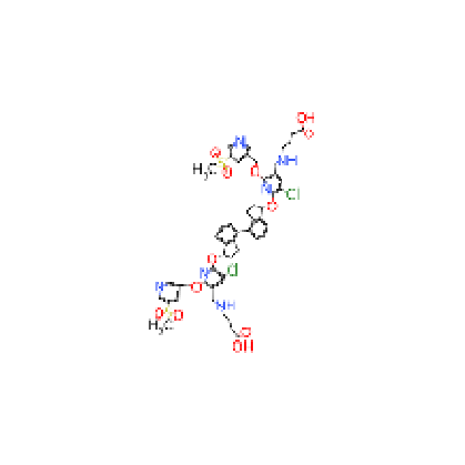 CS(=O)(=O)c1cncc(COc2nc(O[C@H]3CCc4c(-c5cccc6c5CC[C@@H]6Oc5nc(OCc6cncc(S(C)(=O)=O)c6)c(CNCCCC(=O)O)cc5Cl)cccc43)c(Cl)cc2CNCCCC(=O)O)c1